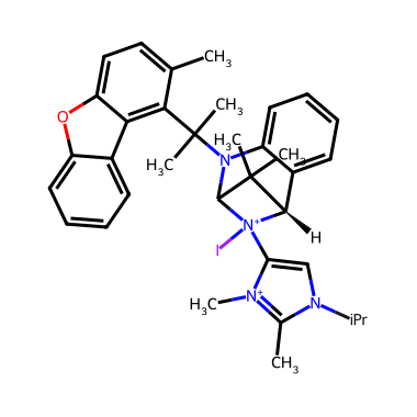 Cc1ccc2oc3ccccc3c2c1C(C)(C)N1c2ccccc2[C@H]2C(C)(C)C1[N+]2(I)c1cn(C(C)C)c(C)[n+]1C